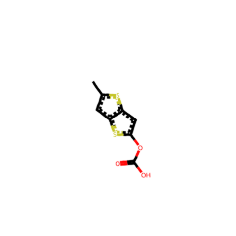 Cc1cc2sc(OC(=O)O)cc2s1